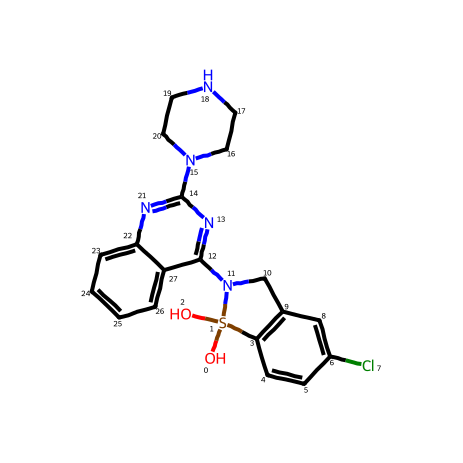 OS1(O)c2ccc(Cl)cc2CN1c1nc(N2CCNCC2)nc2ccccc12